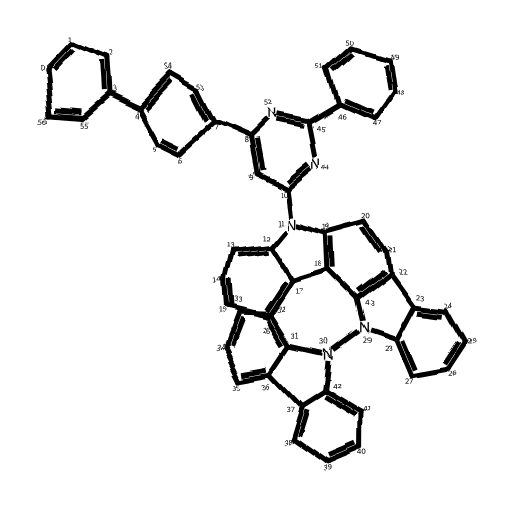 c1ccc(-c2ccc(-c3cc(-n4c5ccccc5c5c4ccc4c6ccccc6n(-n6c7ccccc7c7ccccc76)c45)nc(-c4ccccc4)n3)cc2)cc1